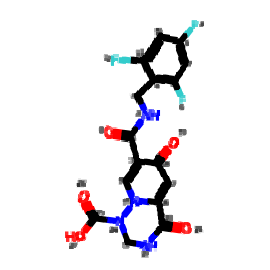 O=C(NCc1c(F)cc(F)cc1F)c1cn2c(cc1=O)C(=O)NCN2C(=O)O